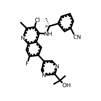 Cc1nc2cc(F)c(-c3cnc(C(C)(C)O)nc3)cc2c(N[C@H](C)c2cccc(C#N)c2)c1Cl